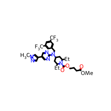 CCC1CC(N(Cc2cc(C(F)(F)F)cc(C(F)(F)F)c2)c2ncc(-c3cnn(C)c3)cn2)CC(CC)N1C(=O)OCCCC(=O)OC